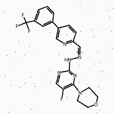 Fc1cnc(N/N=C\c2ccc(-c3cccc(C(F)(F)F)c3)cn2)nc1N1CCOCC1